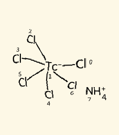 [Cl][Tc-]([Cl])([Cl])([Cl])([Cl])[Cl].[NH4+]